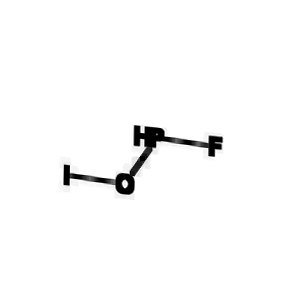 FPOI